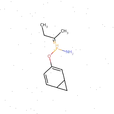 CC/C(C)=[PH](/N)OC1=CC2CC2C=C1